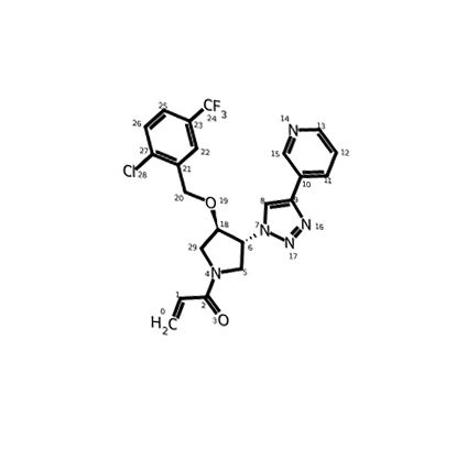 C=CC(=O)N1C[C@@H](n2cc(-c3cccnc3)nn2)[C@H](OCc2cc(C(F)(F)F)ccc2Cl)C1